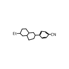 CCC1CCC2CC(c3ccc(C#N)cc3)CCC2C1